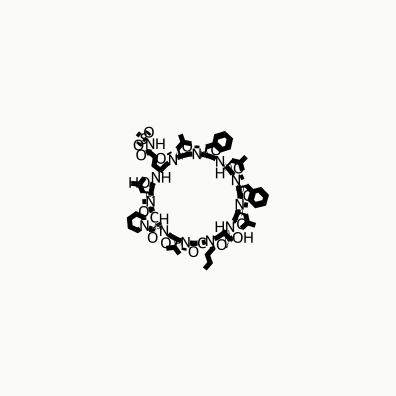 CCCCN1CC(=O)N(C)[C@@H](C(C)C)C(=O)N[C@H](C(=O)N2CCCCC2)CC(=O)N(C)[C@@H](CC(C)C)C(O)NC(CCC(=O)NS(C)(=O)=O)C(=O)N(C)[C@@H](CC(C)C)C(=O)N(C)[C@@H](Cc2ccccc2)C(=O)N[C@@H](CC(C)C)C(=O)N(C)[C@@H](Cc2ccccc2)C(=O)N(C)[C@@H](CC(C)C)C(=O)N[C@@H]([C@@H](C)O)C1=O